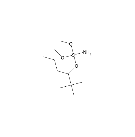 CCCC(O[Si](N)(OC)OC)C(C)(C)C